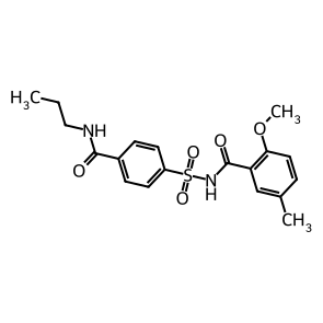 CCCNC(=O)c1ccc(S(=O)(=O)NC(=O)c2cc(C)ccc2OC)cc1